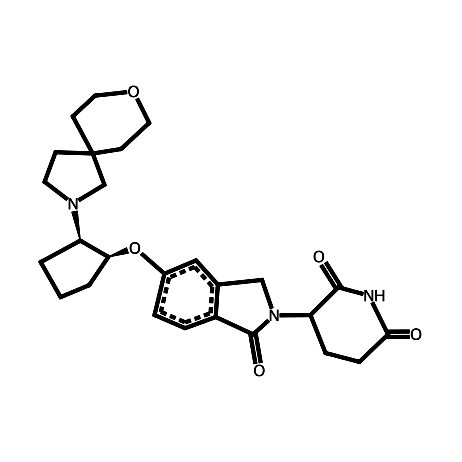 O=C1CCC(N2Cc3cc(O[C@H]4CCC[C@H]4N4CCC5(CCOCC5)C4)ccc3C2=O)C(=O)N1